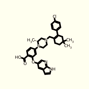 C[C@@H]1CN(CC2=C(c3ccc(Cl)cc3)CC(C)(C)CC2)CCN1c1ccc(C(=O)O)c(Oc2cnc3[nH]ccc3c2)c1